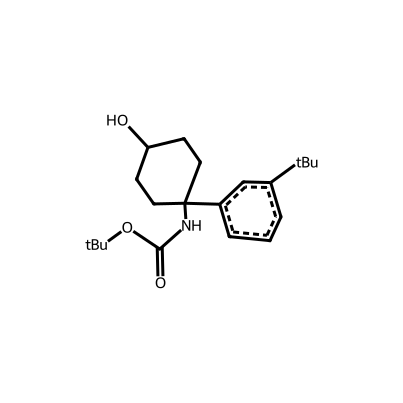 CC(C)(C)OC(=O)NC1(c2cccc(C(C)(C)C)c2)CCC(O)CC1